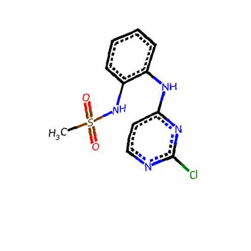 CS(=O)(=O)Nc1ccccc1Nc1ccnc(Cl)n1